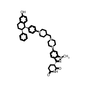 Cn1nc([C@H]2CCC(=O)NC2=O)c2ccc(N3CCN(CC4CCN(c5ccc([C@@H]6c7ccc(O)cc7CC[C@@H]6c6ccccc6)cc5)CC4)CC3)cc21